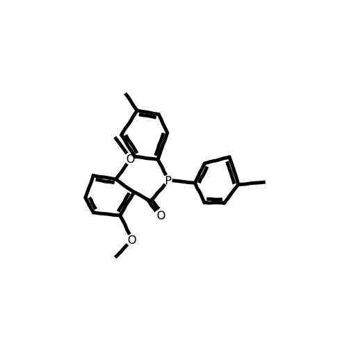 COc1cccc(OC)c1C(=O)P(c1ccc(C)cc1)c1ccc(C)cc1